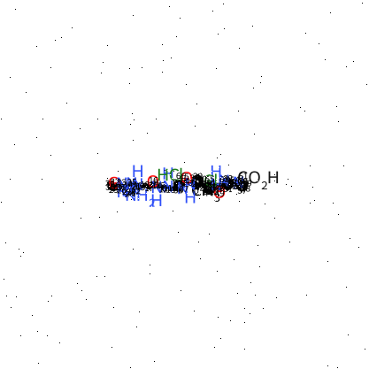 Cc1c(NC(=O)c2ccc(CNCCNC(=O)CCCNc3nc(N)n4nc(-c5ccco5)nc4n3)cn2)cccc1-c1cccc(NC(=O)c2ccc(CN3CCCC[C@H]3C(=O)O)cn2)c1Cl.Cl